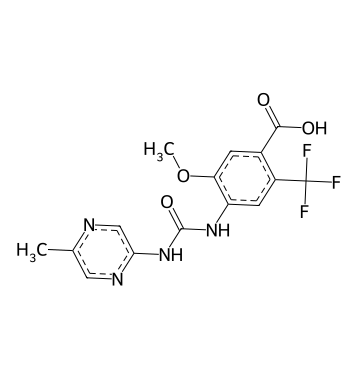 COc1cc(C(=O)O)c(C(F)(F)F)cc1NC(=O)Nc1cnc(C)cn1